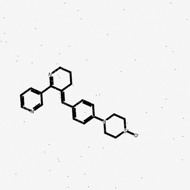 [O-][S+]1CCN(c2ccc(C=C3CCCN=C3c3cccnc3)cc2)CC1